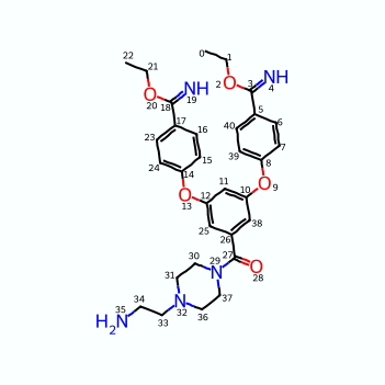 CCOC(=N)c1ccc(Oc2cc(Oc3ccc(C(=N)OCC)cc3)cc(C(=O)N3CCN(CCN)CC3)c2)cc1